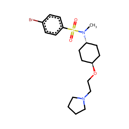 CN([C@H]1CC[C@H](OCCN2CCCC2)CC1)S(=O)(=O)c1ccc(Br)cc1